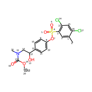 Cc1cc(S(=O)(=O)Oc2ccc(C(O)CN(C)C(=O)OC(C)(C)C)cc2)c(Cl)cc1Cl